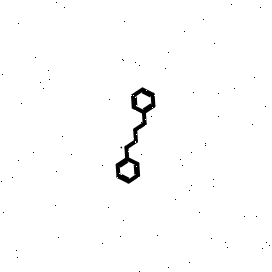 [CH](CCCc1ccccc1)c1ccccc1